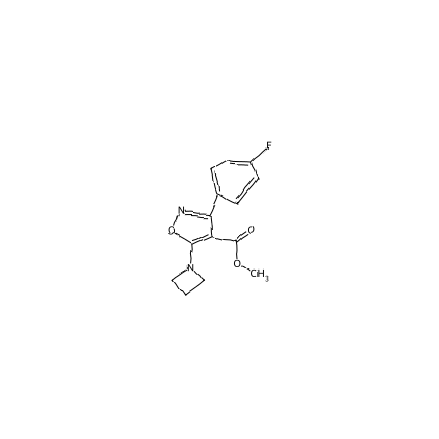 COC(=O)c1c(-c2ccc(F)cc2)noc1N1CCC1